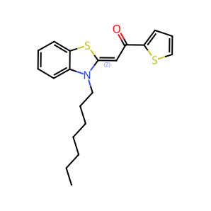 CCCCCCCN1/C(=C/C(=O)c2cccs2)Sc2ccccc21